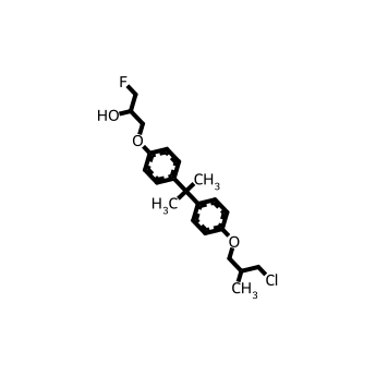 CC(CCl)COc1ccc(C(C)(C)c2ccc(OCC(O)CF)cc2)cc1